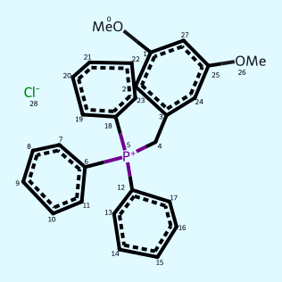 COc1cc(C[P+](c2ccccc2)(c2ccccc2)c2ccccc2)cc(OC)c1.[Cl-]